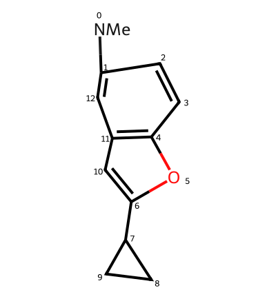 CNc1ccc2oc(C3CC3)cc2c1